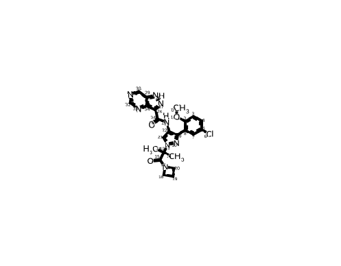 COc1ccc(Cl)cc1-c1nn(C(C)(C)C(=O)N2CCC2)cc1NC(=O)c1n[nH]c2cncnc12